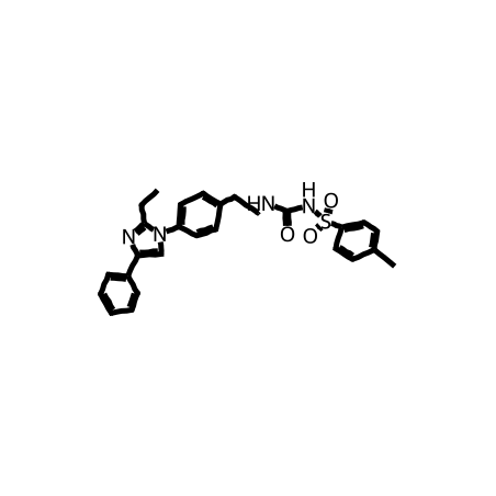 CCc1nc(-c2ccccc2)cn1-c1ccc(CCNC(=O)NS(=O)(=O)c2ccc(C)cc2)cc1